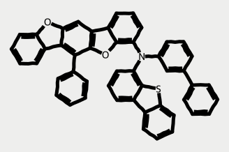 c1ccc(-c2cccc(N(c3cccc4c3oc3c(-c5ccccc5)c5c(cc34)oc3ccccc35)c3cccc4c3sc3ccccc34)c2)cc1